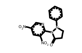 O=C1CCN(c2ccccc2)N1c1ncc([N+](=O)[O-])cc1[N+](=O)[O-]